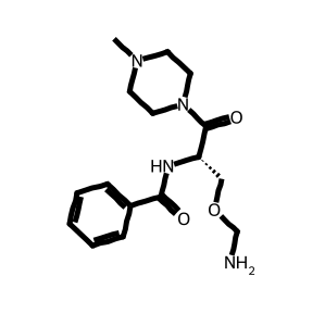 CN1CCN(C(=O)[C@H](COCN)NC(=O)c2ccccc2)CC1